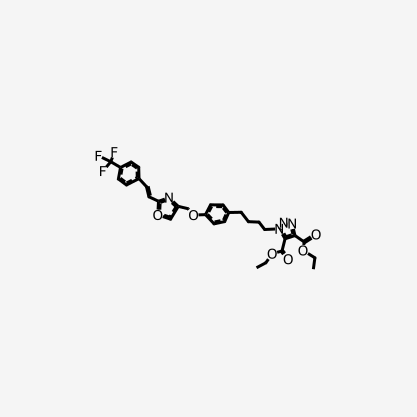 CCOC(=O)c1nnn(CCCCc2ccc(OCc3coc(C=Cc4ccc(C(F)(F)F)cc4)n3)cc2)c1C(=O)OCC